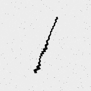 CCCCCCCCCCCCCCC[CH]CCCCCCCCCCCCCCCCCC